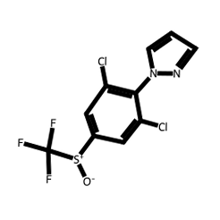 [O-][S+](c1cc(Cl)c(-n2cccn2)c(Cl)c1)C(F)(F)F